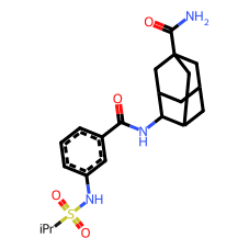 CC(C)S(=O)(=O)Nc1cccc(C(=O)NC2C3CC4CC2CC(C(N)=O)(C4)C3)c1